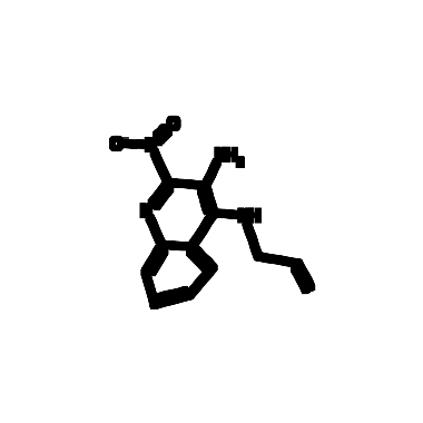 C=CCNc1c(N)c([N+](=O)[O-])nc2ccccc12